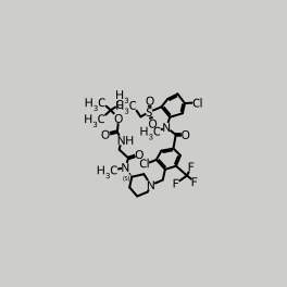 CCS(=O)(=O)c1ccc(Cl)cc1N(C)C(=O)c1cc(Cl)c(CN2CCC[C@H](N(C)C(=O)CNC(=O)OC(C)(C)C)C2)c(C(F)(F)F)c1